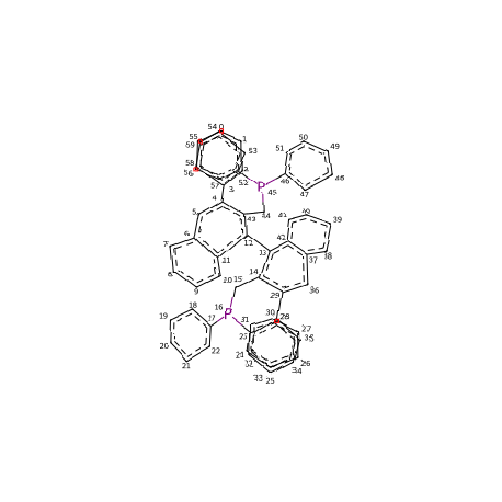 c1ccc(-c2cc3ccccc3c(-c3c(CP(c4ccccc4)c4ccccc4)c(-c4ccccc4)cc4ccccc34)c2CP(c2ccccc2)c2ccccc2)cc1